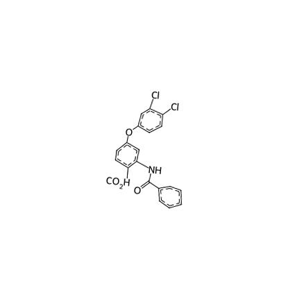 O=C(Nc1cc(Oc2ccc(Cl)c(Cl)c2)ccc1C(=O)O)c1ccccc1